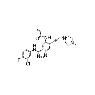 C=CC(=O)Nc1cc2c(Nc3ccc(F)c(Cl)c3)ncnc2cc1C#CCN1CCN(C)CC1